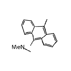 CNC.Cc1c2ccccc2c(C)c2ccccc12